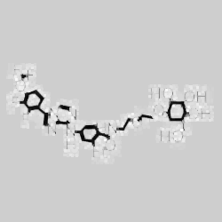 CCc1cc(Nc2nccn3c(-c4ccc(OC(F)F)c(F)c4F)cnc23)ccc1C(=O)NCCOCCO[C@H]1C[C@H](CO)[C@H](O)[C@H](O)[C@H]1O